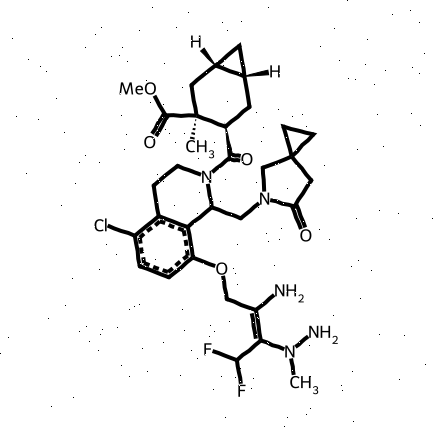 COC(=O)[C@@]1(C)C[C@@H]2C[C@@H]2C[C@H]1C(=O)N1CCc2c(Cl)ccc(OC/C(N)=C(\C(F)F)N(C)N)c2C1CN1CC2(CC2)CC1=O